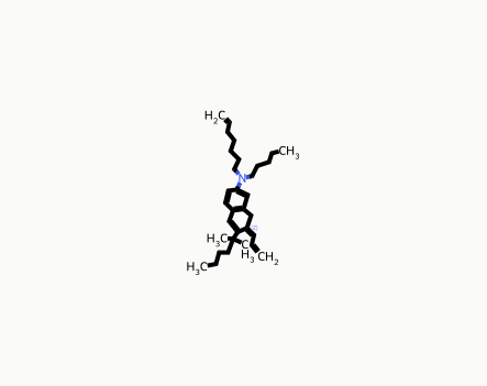 C=C/C=C1/Cc2cc(N(CCCCC)CCCCCC=C)ccc2C=C1C(C)(C)CCCC